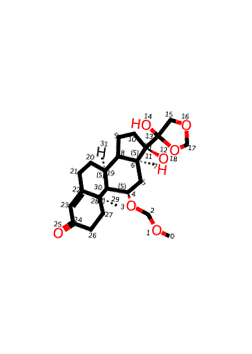 COCO[C@H]1C[C@@]2(C)C(CC[C@]2(O)C2(O)COCO2)[C@@H]2CCC3=CC(=O)CC[C@]3(C)C21